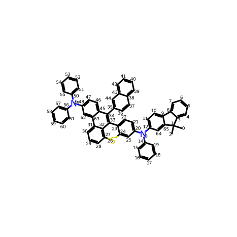 CC1(C)c2ccccc2-c2ccc(N(c3ccccc3)c3ccc4c(c3)Sc3cccc5c3c-4c(-c3ccc4ccccc4c3)c3ccc(N(c4ccccc4)c4ccccc4)cc35)cc21